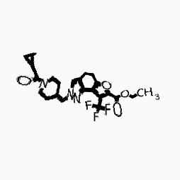 CCOC(=O)c1oc2c(c1C(F)(F)F)-c1nn(CC3CCN(C(=O)C4CC4)CC3)cc1CC2